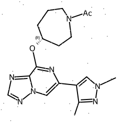 CC(=O)N1CCC[C@@H](Oc2nc(-c3cn(C)nc3C)cn3ncnc23)CC1